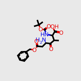 CC(C(=O)[C@@H](N)CC(=O)OCc1ccccc1)C(NC(=O)OC(C)(C)C)C(=O)O